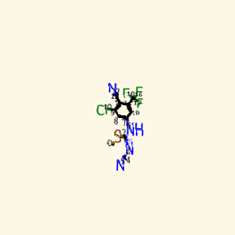 CS/C(=N\C#N)Nc1cc(Cl)c(C#N)c(C(F)(F)F)c1